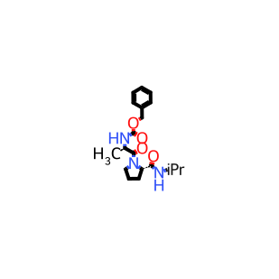 CC(C)NC(=O)[C@@H]1CCCN1C(=O)[C@H](C)NC(=O)OCc1ccccc1